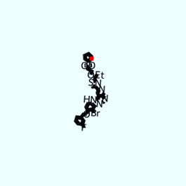 CCC(OCCS(=O)(=O)c1ccccc1)c1nc(-c2cc3c(Nc4ccc(OCc5cccc(F)c5)c(Br)c4)ncnc3cn2)cs1